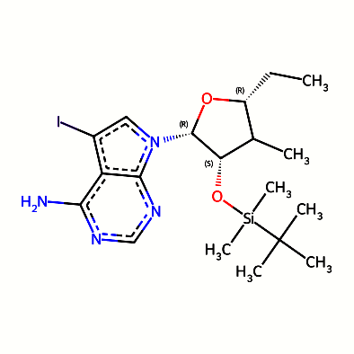 CC[C@H]1O[C@@H](n2cc(I)c3c(N)ncnc32)[C@@H](O[Si](C)(C)C(C)(C)C)C1C